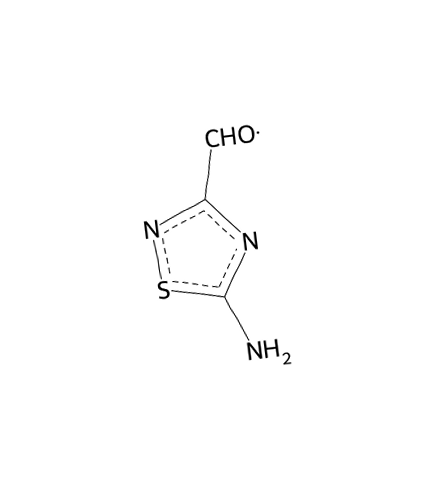 Nc1nc([C]=O)ns1